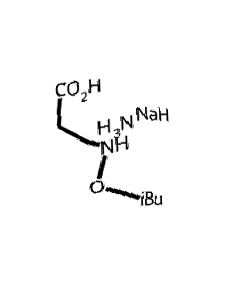 CCC(C)ONCC(=O)O.N.[NaH]